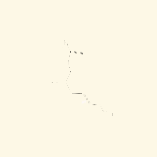 CCC(C)C/C=C/CC(C)CCC(N)=O